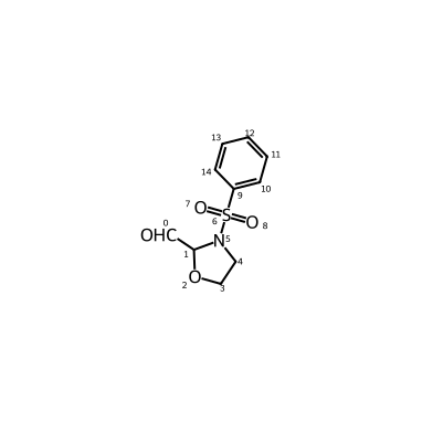 O=CC1OCCN1S(=O)(=O)c1ccccc1